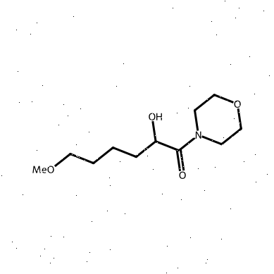 COCCCCC(O)C(=O)N1CCOCC1